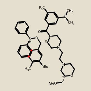 COC[C@@H]1CN(CCN2CCN(C(=O)c3cc(N(C)C)cc(C(F)(F)F)c3)[C@@H](C(O[SiH](c3ccccc3)c3ccccc3)c3ccc(C)c(C(C)(C)C)c3)C2)CCO1